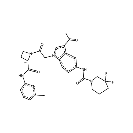 CC(=O)c1cn(CC(=O)N2CC[C@H]2C(=O)Nc2cccc(C)n2)c2ccc(NC(=O)N3CCCC(F)(F)C3)cc12